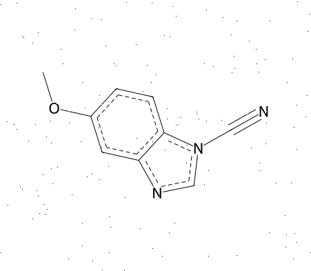 COc1ccc2c(c1)ncn2C#N